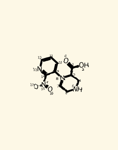 O=C(O)C1CNCCN1c1cccnc1[N+](=O)[O-]